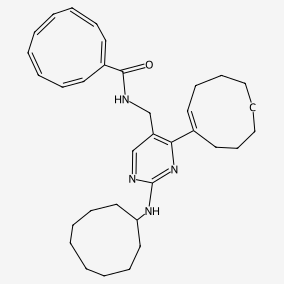 O=C(NCc1cnc(NC2CCCCCCCC2)nc1/C1=C/CCCCCCC1)c1ccccccccc1